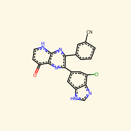 N#Cc1cccc(-c2nc3[nH]ccc(=O)c3nc2-c2cc(Cl)c3nc[nH]c3c2)c1